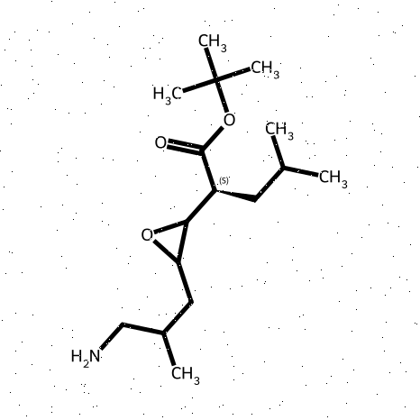 CC(C)C[C@H](C(=O)OC(C)(C)C)C1OC1CC(C)CN